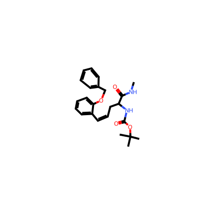 CNC(=O)C(C/C=C\c1ccccc1OCc1ccccc1)NC(=O)OC(C)(C)C